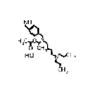 CCCN(CCC)CCCCN(Cc1ccc(CN)cc1)C(C)OC(C)=O.Cl